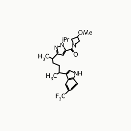 COC1CN(C(=O)c2cc(C(C)CCC(C)c3c[nH]c4ccc(C(F)(F)F)cc34)nn2C(C)C)C1